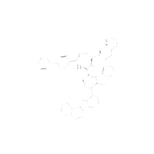 C1=C(c2ccc(-c3ccccc3)cc2)N=C(c2ccc(-c3cccc4c3sc3c5ccccc5ccc43)c3oc4ccccc4c23)N=C(c2ccc3ccccc3c2)C1